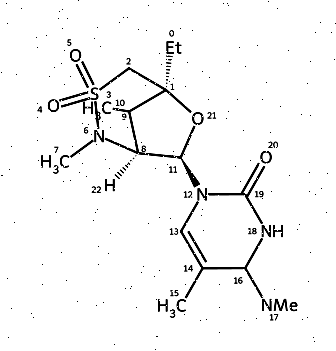 CC[C@@]12CS(=O)(=O)N(C)[C@@H](C1C)[C@H](N1C=C(C)C(NC)NC1=O)O2